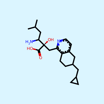 CC(C)CC(N)[C@](O)(Cc1nccc2c1CCC(CC1CC1)C2)C(=O)O